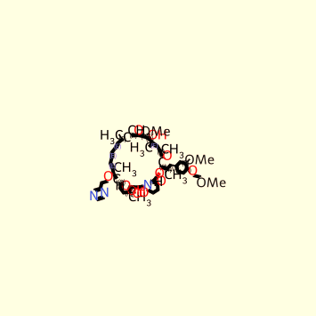 COCCO[C@@H]1CC[C@@H](C[C@@H](C)[C@@H]2CC(=O)[C@H](C)/C=C(\C)[C@@H](O)[C@@H](OC)C(=O)[C@H](C)C[C@H](C)/C=C/C=C/C=C(\C)C(OCCc3cnccn3)C[C@@H]3CC[C@@H](C)[C@@](O)(O3)C(=O)C(=O)N3CCCC[C@H]3C(=O)O2)C[C@H]1OC